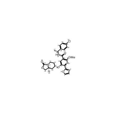 COc1nc(-c2ncco2)c(O[C@H]2CCN3C(=O)OC[C@@H]3C2)cc1C(=O)N[C@@H](C)c1ccc(Cl)cc1